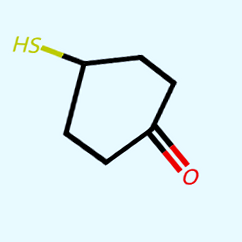 O=C1CCC(S)CC1